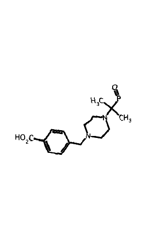 CC(C)(P=O)N1CCN(Cc2ccc(C(=O)O)cc2)CC1